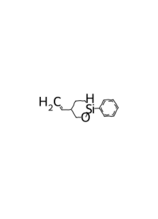 C=CC1CC[SiH](c2ccccc2)OC1